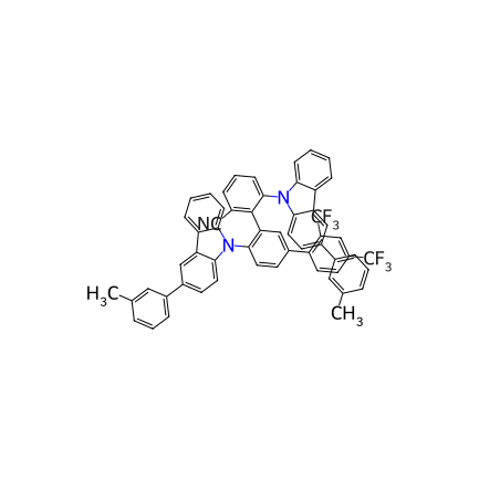 Cc1cccc(-c2ccc3c(c2)c2ccccc2n3-c2ccc(-c3ccc(C(F)(F)F)cc3C(F)(F)F)cc2-c2c(C#N)cccc2-n2c3ccccc3c3cc(-c4cccc(C)c4)ccc32)c1